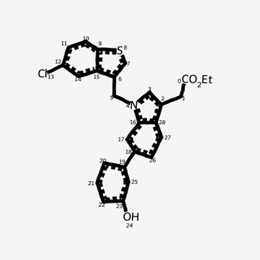 CCOC(=O)Cc1cn(Cc2csc3ccc(Cl)cc23)c2cc(-c3cccc(O)c3)ccc12